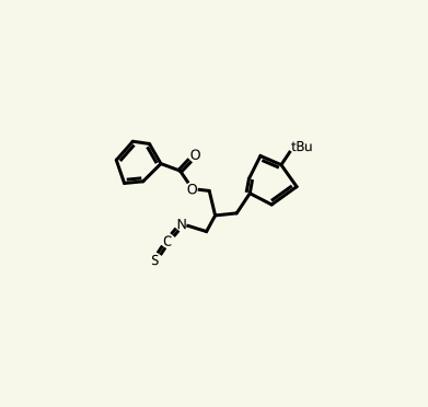 CC(C)(C)c1ccc(CC(CN=C=S)COC(=O)c2ccccc2)cc1